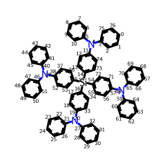 c1ccc(N(c2ccccc2)c2ccc([Si](c3ccc(N(c4ccccc4)c4ccccc4)cc3)(c3ccc(N(c4ccccc4)c4ccccc4)cc3)c3ccc(N(c4ccccc4)c4ccccc4)cc3)cc2)cc1